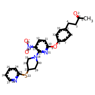 CC(=O)CCc1ccc(Oc2ccc([N+](=O)[O-])c(N3CCC(Sc4ccccn4)CC3)n2)cc1